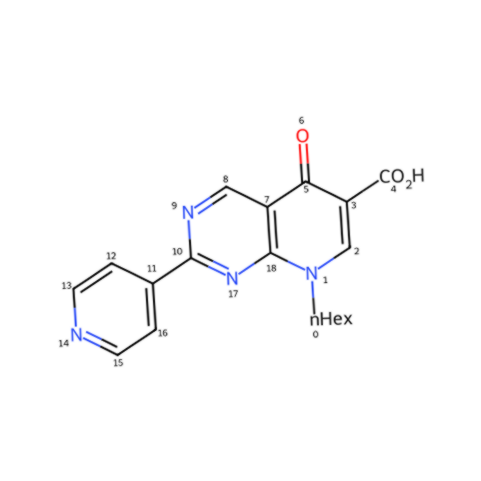 CCCCCCn1cc(C(=O)O)c(=O)c2cnc(-c3ccncc3)nc21